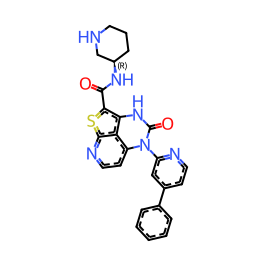 O=C(N[C@@H]1CCCNC1)c1sc2nccc3c2c1NC(=O)N3c1cc(-c2ccccc2)ccn1